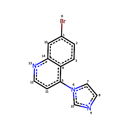 Brc1ccc2c(-n3ccnc3)ccnc2c1